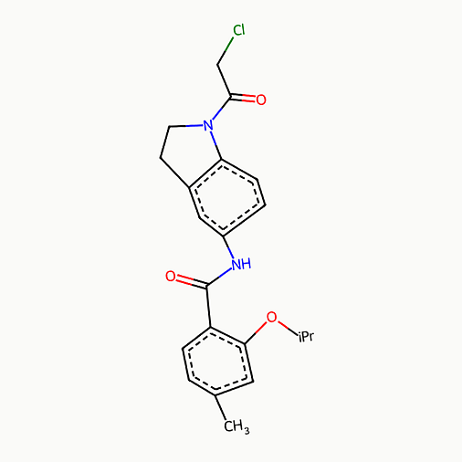 Cc1ccc(C(=O)Nc2ccc3c(c2)CCN3C(=O)CCl)c(OC(C)C)c1